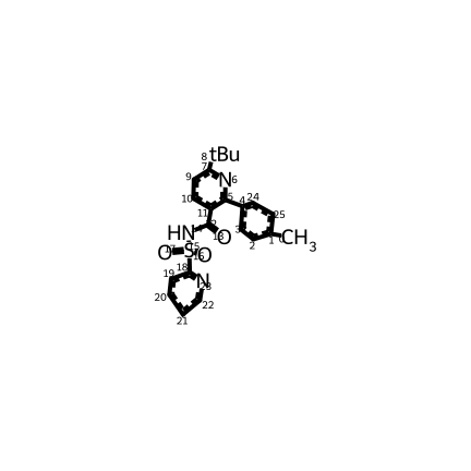 Cc1ccc(-c2nc(C(C)(C)C)ccc2C(=O)NS(=O)(=O)c2ccccn2)cc1